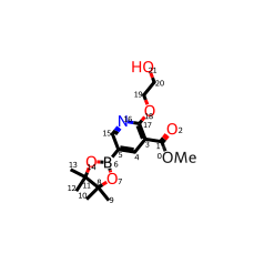 COC(=O)c1cc(B2OC(C)(C)C(C)(C)O2)cnc1OCCO